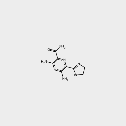 NC(=O)c1nc(C2=NCCN2)c(N)nc1N